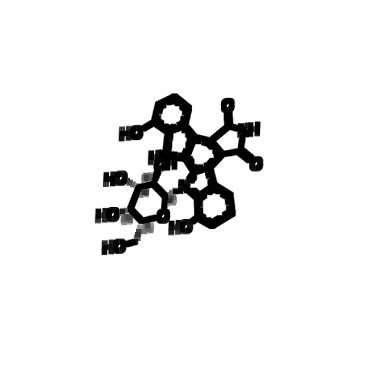 O=C1NC(=O)c2c1c1c3cccc(O)c3[nH]c1c1c2c2cccc(O)c2n1[C@@H]1O[C@H](CO)[C@H](O)[C@H](O)[C@H]1O